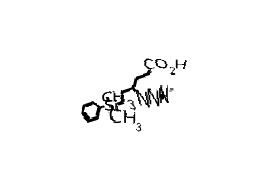 C[Si](C)(CCC(CCC(=O)O)N=[N+]=[N-])c1ccccc1